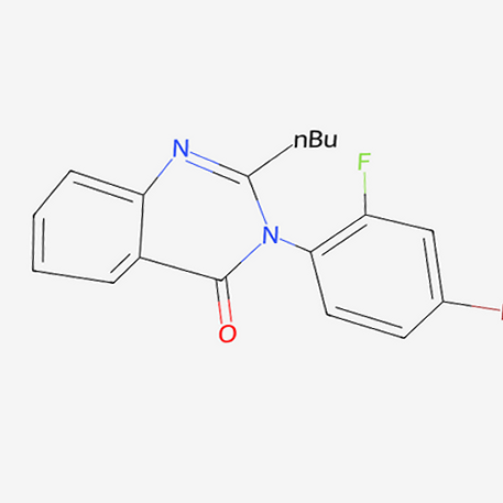 CCCCc1nc2ccccc2c(=O)n1-c1ccc(Br)cc1F